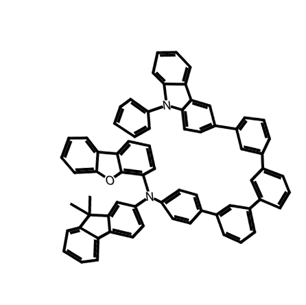 CC1(C)c2ccccc2-c2ccc(N(c3ccc(-c4cccc(-c5cccc(-c6cccc(-c7ccc8c(c7)c7ccccc7n8-c7ccccc7)c6)c5)c4)cc3)c3cccc4c3oc3ccccc34)cc21